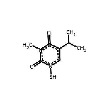 CC(C)c1cn(S)c(=O)n(C)c1=O